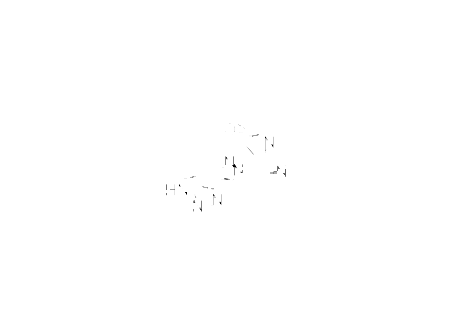 CC[S+]([O-])c1cncc(C(CC#N)n2cc(-c3ncnc4[nH]ccc34)cn2)c1